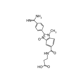 Cn1c(-c2ccc(C(=N)N)cc2)[n+]([O-])c2cc(C(=O)NCCC(=O)O)ccc21